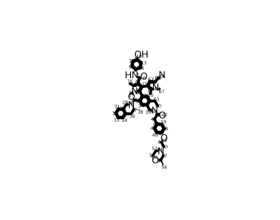 Cc1c(-c2c(C(=O)Nc3ccc(O)cc3)c(C)n(C)c2-c2cc3c(cc2C(=O)N2Cc4ccccc4C[C@H]2C)CN(C(=O)Cc2ccc(OCCN4CCO[C@H](C)C4)cc2)CC3)cc(C#N)n1C